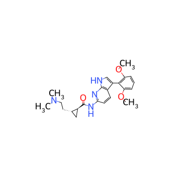 COc1cccc(OC)c1-c1c[nH]c2nc(NC(=O)[C@H]3C[C@@H]3CCN(C)C)ccc12